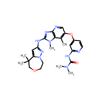 CN(C)C(=O)Nc1cc(Oc2cnc3nc(Nc4cc5n(n4)CCOCC5(C)C)n(C)c3c2C#N)ccn1